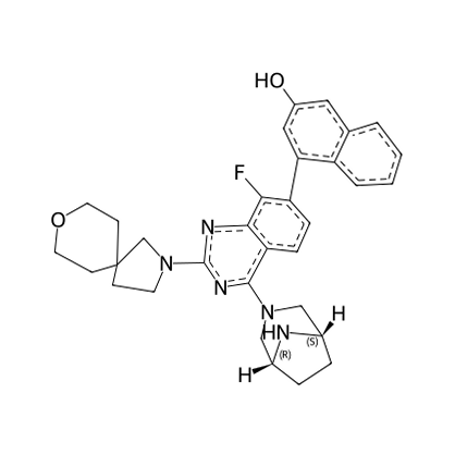 Oc1cc(-c2ccc3c(N4C[C@H]5CC[C@@H](C4)N5)nc(N4CCC5(CCOCC5)C4)nc3c2F)c2ccccc2c1